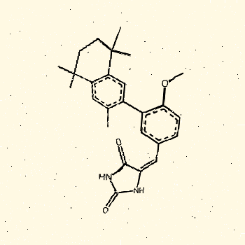 COc1ccc(C=C2NC(=O)NC2=O)cc1-c1cc2c(cc1C)C(C)(C)CCC2(C)C